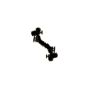 CC(C)(c1ccc(OCC(O)CNCCCN/C(=N\C2CCCCC2)NC2CCCCC2)cc1)c1ccc(OCC(O)CNCCCN/C(=N\C2CCCCC2)NC2CCCCC2)cc1